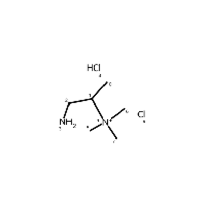 CC(CN)[N+](C)(C)C.Cl.[Cl-]